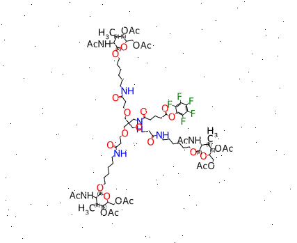 CC(=O)NC1[C@H](OCCCCCCNC(=O)CCOCC(CNC(=O)CCCC(=O)Oc2c(F)c(F)c(F)c(F)c2F)(COCCC(=O)NCCCCCCO[C@@H]2OC(COC(C)=O)[C@@H](OC(C)=O)[C@H](C)C2NC(C)=O)COCCC(=O)NCCCCCCO[C@@H]2OC(COC(C)=O)[C@@H](OC(C)=O)[C@H](C)C2NC(C)=O)OC(COC(C)=O)[C@@H](OC(C)=O)[C@@H]1C